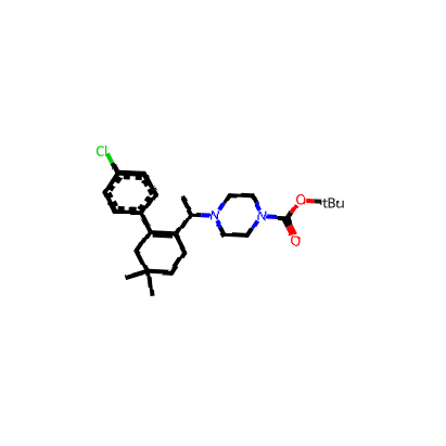 CC(C1=C(c2ccc(Cl)cc2)CC(C)(C)CC1)N1CCN(C(=O)OC(C)(C)C)CC1